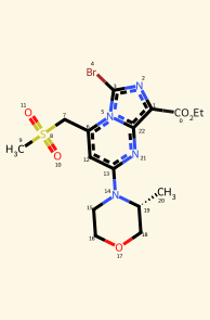 CCOC(=O)c1nc(Br)n2c(CS(C)(=O)=O)cc(N3CCOC[C@H]3C)nc12